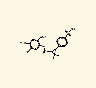 COc1cc(OC)c(NC(=O)C2C(c3ccc(S(N)(=O)=O)cc3)C2(C)C)cc1Cl